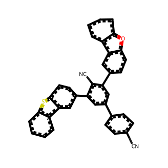 N#Cc1ccc(-c2cc(-c3ccc4oc5ccccc5c4c3)c(C#N)c(-c3ccc4sc5ccccc5c4c3)c2)cc1